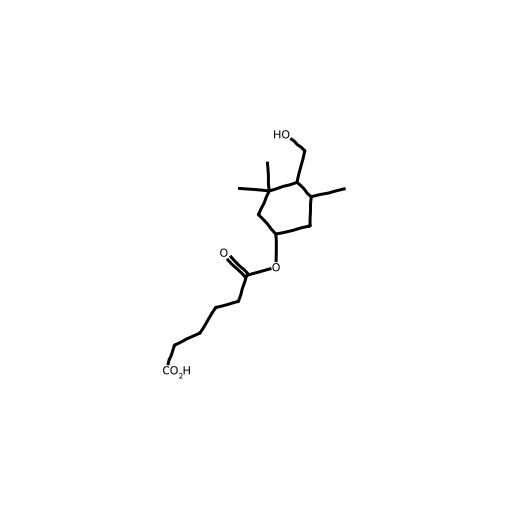 CC1CC(OC(=O)CCCCC(=O)O)CC(C)(C)C1CO